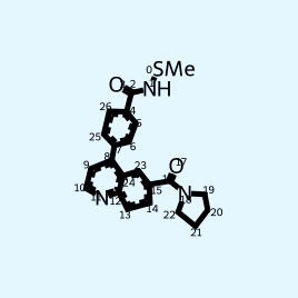 CSNC(=O)c1ccc(-c2ccnc3ccc(C(=O)N4CCCC4)cc23)cc1